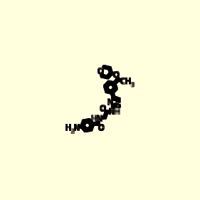 CC(OC1CCOCC1)c1cccc(-c2csc(NC(=O)CNC(=O)c3ccc(N)cc3)n2)c1